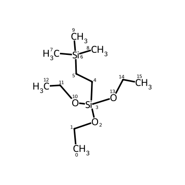 CCO[Si](CC[Si](C)(C)C)(OCC)OCC